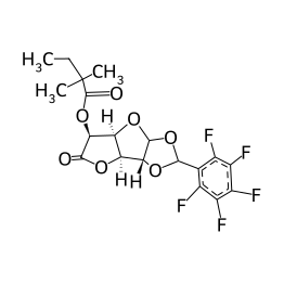 CCC(C)(C)C(=O)O[C@@H]1C(=O)O[C@H]2[C@@H]1OC1OC(c3c(F)c(F)c(F)c(F)c3F)O[C@@H]12